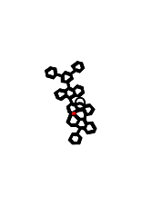 c1ccc(-c2cc(-c3ccccc3)cc(-c3c4ccccc4c(-c4cccc5c4oc4cccc(-c6c7ccccc7c(-c7ccccc7)c7ccccc67)c45)c4ccccc34)c2)cc1